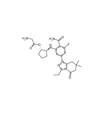 CCc1nn(-c2cc(F)c(C(N)=O)c(N[C@H]3CCC[C@@H]3OC(=O)CN)c2)c2c1C(=O)CC(C)(C)C2